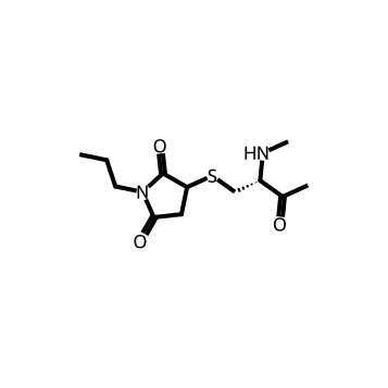 CCCN1C(=O)CC(SC[C@H](NC)C(C)=O)C1=O